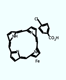 C1=Cc2cc3ccc(cc4nc(cc5ccc(cc1n2)[nH]5)C=C4)[nH]3.O=C(O)c1ccc(Cl)cc1.[Fe]